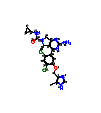 Cc1[nH]cnc1COc1cc(-c2nc(N)nc3c2CN(C(=O)NC2CC2)C3)c(Cl)cc1Cl